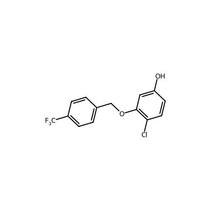 Oc1ccc(Cl)c(OCc2ccc(C(F)(F)F)cc2)c1